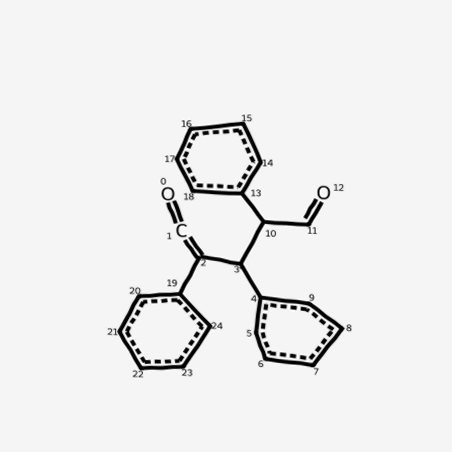 O=C=C([C](c1ccccc1)C(C=O)c1ccccc1)c1ccccc1